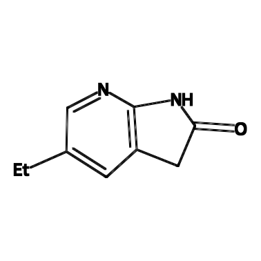 CCc1cnc2c(c1)CC(=O)N2